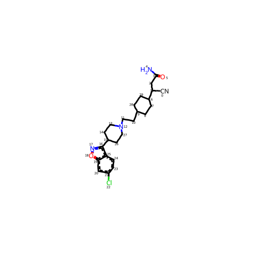 N#CC(CC(N)=O)C1CCC(CCN2CCC(c3noc4cc(Cl)ccc34)CC2)CC1